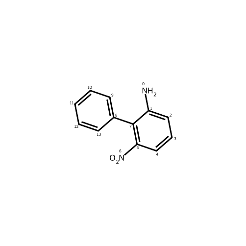 Nc1cccc([N+](=O)[O-])c1-c1ccccc1